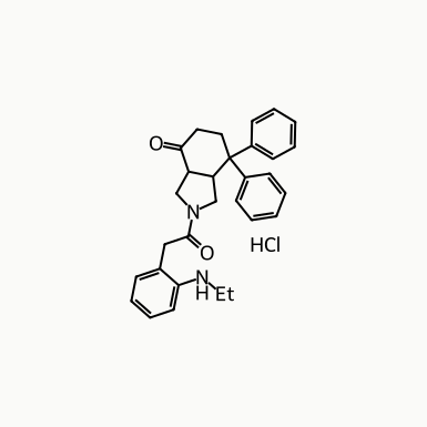 CCNc1ccccc1CC(=O)N1CC2C(=O)CCC(c3ccccc3)(c3ccccc3)C2C1.Cl